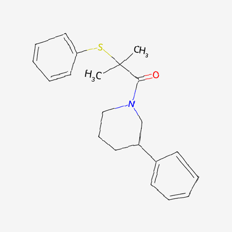 CC(C)(Sc1ccccc1)C(=O)N1CCCC(c2ccccc2)C1